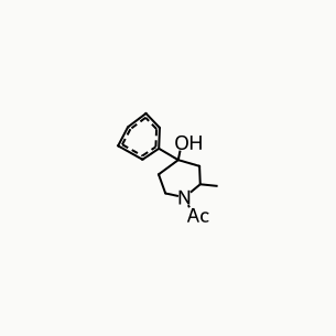 CC(=O)N1CCC(O)(c2ccccc2)CC1C